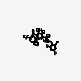 C[C@H]1CCC2(CCC2)N2CN1C(=O)c1c(O)c(=O)c(C(=O)NCc3c(F)cc(F)cc3F)cn12